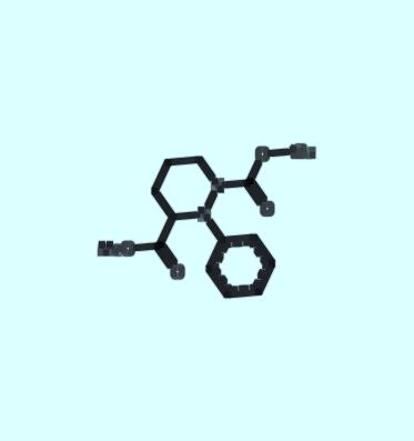 COC(=O)C1CCCN(C(=O)OC(C)(C)C)N1c1ccccc1